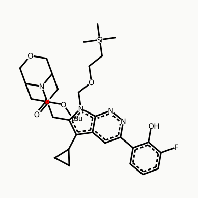 CC(C)(C)OC(=O)N1C2COCC1CN(Cc1c(C3CC3)c3cc(-c4cccc(F)c4O)nnc3n1COCC[Si](C)(C)C)C2